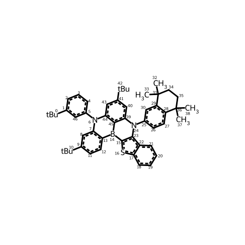 CC(C)(C)c1cccc(N2c3cc(C(C)(C)C)ccc3B3c4sc5ccccc5c4N(c4ccc5c(c4)C(C)(C)CCC5(C)C)c4cc(C(C)(C)C)cc2c43)c1